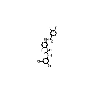 O=C(Nc1ccc(F)c(NC(=S)Nc2cc(Cl)cc(Cl)c2)c1)c1ccc(F)c(F)c1